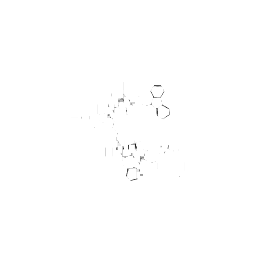 COC(=O)[C@H](CCC(=O)O)NC(=O)[C@H](Cc1cccnc1)NNCCCC[C@H](NC(=O)[C@H](C)NC(=O)OCC1c2ccccc2-c2ccccc21)C(=O)O